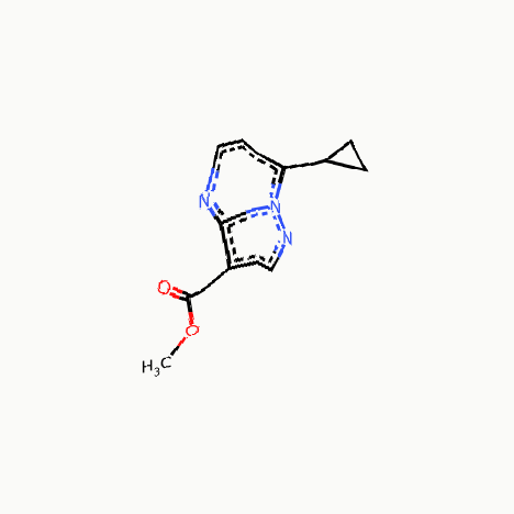 COC(=O)c1cnn2c(C3CC3)ccnc12